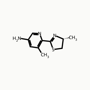 Cc1cc(N)cnc1C1=N[C@H](C)CS1